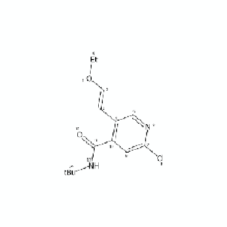 CCOC=Cc1cnc(Cl)cc1C(=O)NC(C)(C)C